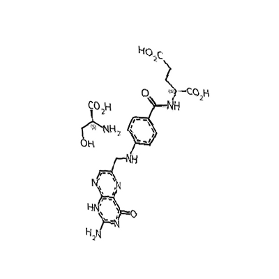 N[C@@H](CO)C(=O)O.Nc1nc(=O)c2nc(CNc3ccc(C(=O)N[C@@H](CCC(=O)O)C(=O)O)cc3)cnc2[nH]1